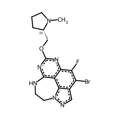 CN1CCC[C@H]1COc1nc2c3c(n1)c(F)c(Br)c1cnn(c13)CCN2